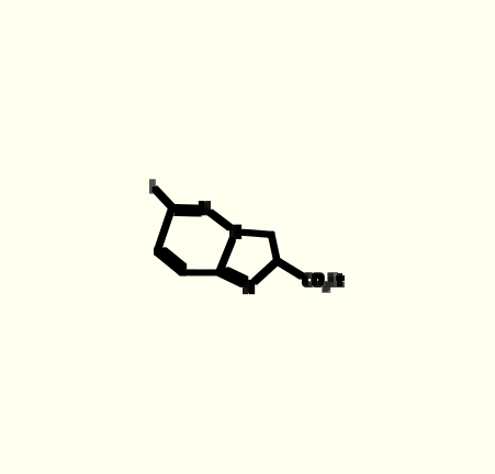 CCOC(=O)C1CN2N=C(I)C=CC2=N1